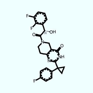 O=C([C@@H](O)c1cccc(F)c1F)N1CCc2nc(C3(c4ccc(F)cc4)CC3)[nH]c(=O)c2C1